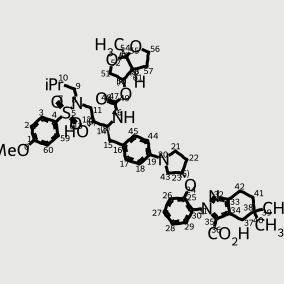 COc1ccc(S(=O)(=O)N(CC(C)C)C[C@@H](O)[C@H](Cc2ccc(N3CC[C@H](Oc4ccccc4-n4nc5c(c4C(=O)O)CC(C)(C)CC5)C3)cc2)NC(=O)O[C@H]2CO[C@@]3(C)OCC[C@@H]23)cc1